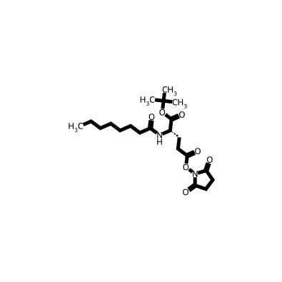 CCCCCCCC(=O)N[C@@H](CCC(=O)ON1C(=O)CCC1=O)C(=O)OC(C)(C)C